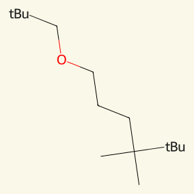 CC(C)(C)COCCCC(C)(C)C(C)(C)C